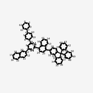 c1ccc(-c2ccc(-c3cc(-c4ccc5ccccc5c4)nc(-c4ccc(-c5ccc6c(c5)-c5ccccc5C6(c5ccccc5)c5ccccc5)c5ccccc45)n3)cc2)cc1